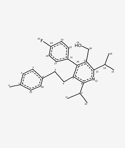 Cc1ccc(CCc2c(C(C)C)nc(C(C)C)c(CO)c2-c2ccc(F)cc2)cc1